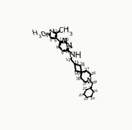 Cc1nn(C)cc1-c1ccc(NCC2CC3(CCN(CC4CCCCC4)CC3)C2)nn1